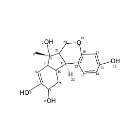 C[C@]1(O)C2C=C(O)C(O)CC2[C@@H]2c3ccc(O)cc3OCC21